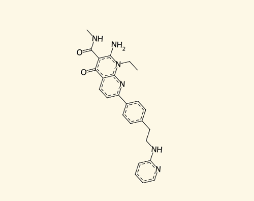 CCn1c(N)c(C(=O)NC)c(=O)c2ccc(-c3ccc(CCNc4ccccn4)cc3)nc21